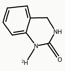 [2H]N1C(=O)NCc2ccccc21